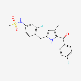 Cc1cc(Cc2ccc(NS(C)(=O)=O)cc2F)n(C)c1C(=O)c1ccc(F)cc1